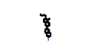 C=C/C=C\c1ccc2cc(-c3ccc4c(c3)CCC(I)=C4)ccc2c1C